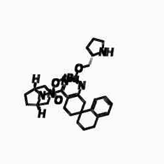 CC(C)(C)OC(=O)N1[C@@H]2CC[C@H]1CN(c1nc(OC[C@@H]3CCCN3)nc3c1CCC1(CCCc4ccccc41)C3)C2